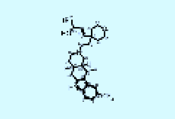 C[C@H]1c2c([nH]c3ccc(C(F)(F)F)cc23)C[C@H]2CCN(CCC3(/C=C/C(O)C(C)(C)C)CCOCC3)C[C@@H]21